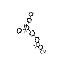 CC1(C)c2cc(C#N)ccc2-c2ccc(-c3ccc(-c4cc(-c5ccc(-c6ccccc6)cc5)nc(-c5ccccc5)n4)cc3)cc21